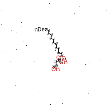 CCCCCCCCCCCCCCCCCCCCCC(=O)OC(O)CCCO